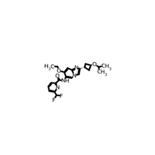 CCOc1cc2nc([C@H]3C[C@@H](OC(C)C)C3)cn2cc1NC(=O)c1cccc(C(F)F)n1